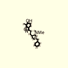 CNC.Cc1c(O)ccc2c(CCC3CCN(Cc4ccccc4)CC3)noc12